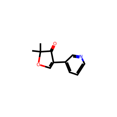 CC1(C)OC=C(c2cccnc2)C1=O